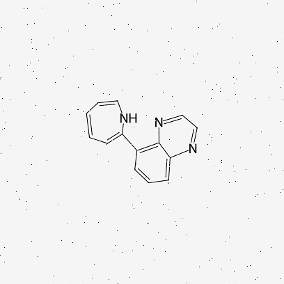 C1=CC=C(c2cccc3nccnc23)NC=C1